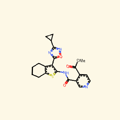 COC(=O)c1ccncc1C(=O)Nc1sc2c(c1-c1nc(C3CC3)no1)CCCC2